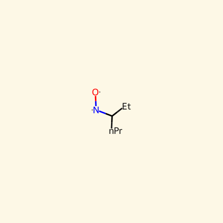 CCCC(CC)[N][O]